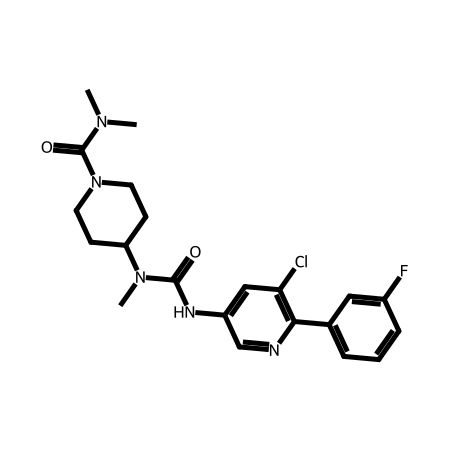 CN(C)C(=O)N1CCC(N(C)C(=O)Nc2cnc(-c3cccc(F)c3)c(Cl)c2)CC1